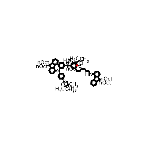 CCCCCCCCC(CCCCCCCC)(c1cccc(N(C2=CC=CC3C2c2ccccc2C3(CCCCCCCC)CCCCCCCC)c2ccc(B3CC(C)(C)C(C)(C)O3)cc2)c1)c1cc(\C=C/C(=C\C=C\Nc2cccc3c2-c2ccccc2C3(CCCCCCCC)CCCCCCCC)B2CC(C)(C)C(C)(C)O2)ccc1C